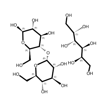 OC[C@@H](O)[C@H](O)[C@H](O)[C@@H](O)CO.OC[C@H]1O[C@H](O[C@H]2[C@H](O)[C@@H](O)[C@H](O)O[C@@H]2CO)[C@H](O)[C@@H](O)[C@@H]1O